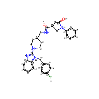 O=C(NCC1CCN(c2nc3ccccc3n2Cc2ccc(F)cc2)CC1)C1CC(=O)N(c2ccccc2)C1